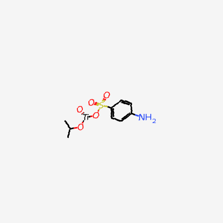 CC(C)[O][Ti](=[O])[O]S(=O)(=O)c1ccc(N)cc1